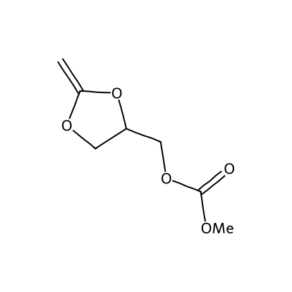 C=C1OCC(COC(=O)OC)O1